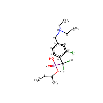 CCC(C)OP(=O)(O)C(F)(F)c1ccc(CN(CC)CC)cc1Br